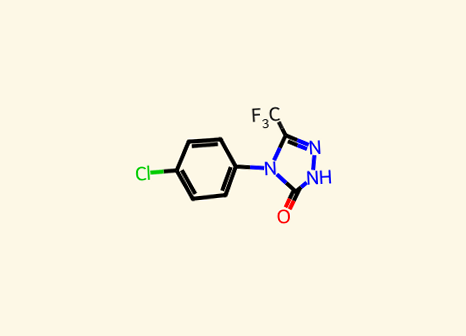 O=c1[nH]nc(C(F)(F)F)n1-c1ccc(Cl)cc1